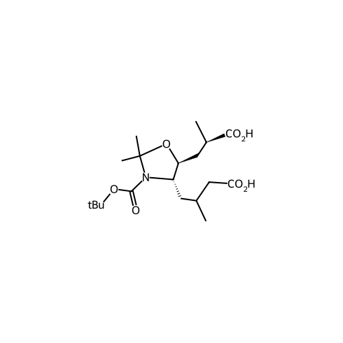 CC(CC(=O)O)C[C@H]1[C@H](C[C@@H](C)C(=O)O)OC(C)(C)N1C(=O)OC(C)(C)C